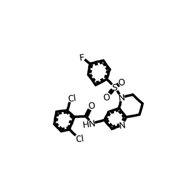 O=C(Nc1cnc2c(c1)N(S(=O)(=O)c1ccc(F)cc1)CCC2)c1c(Cl)cccc1Cl